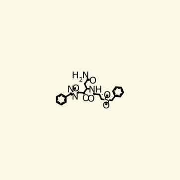 NC(=O)CC(NC(=O)[CH]CS(=O)(=O)Cc1ccccc1)C(=O)c1nc(-c2ccccc2)no1